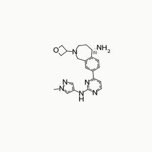 Cn1cc(Nc2nccc(-c3ccc4c(c3)CN(C3COC3)CC[C@@H]4N)n2)cn1